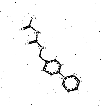 NC(=O)NC(=S)NCc1ccc(-c2ccccc2)cc1